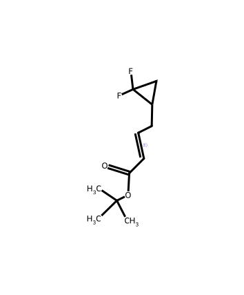 CC(C)(C)OC(=O)/C=C/CC1CC1(F)F